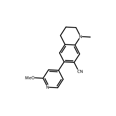 COc1cc(-c2cc3c(cc2C#N)N(C)CCC3)ccn1